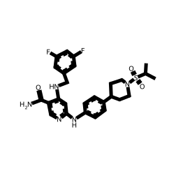 CC(C)S(=O)(=O)N1CCC(c2ccc(Nc3cc(NCc4cc(F)cc(F)c4)c(C(N)=O)cn3)cc2)CC1